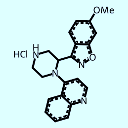 COc1ccc2c(C3CNCCN3c3ccnc4ccccc34)noc2c1.Cl